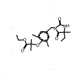 CCOC(=O)C(C)(C)Oc1c(C)cc(CN2C(=O)NC(C)(CC)C2=O)cc1C